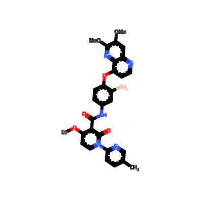 Bc1cc(NC(=O)c2c(OCC)ccn(-c3ccc(C)cn3)c2=O)ccc1Oc1ccnc2cc(OC)c(OC)nc12